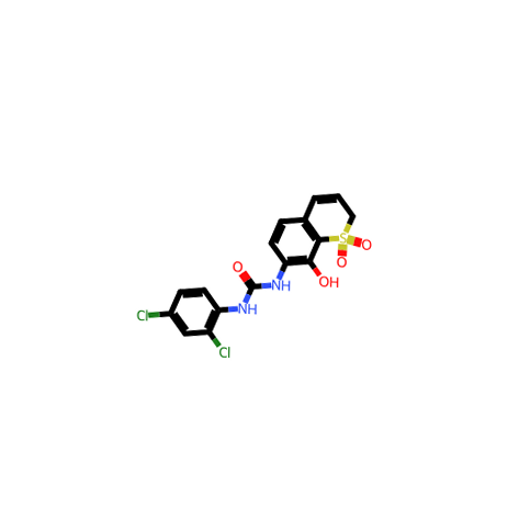 O=C(Nc1ccc(Cl)cc1Cl)Nc1ccc2c(c1O)S(=O)(=O)CC=C2